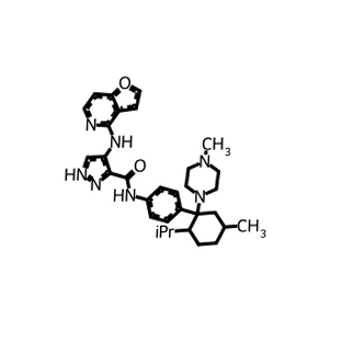 CC1CCC(C(C)C)C(c2ccc(NC(=O)c3n[nH]cc3Nc3nccc4occc34)cc2)(N2CCN(C)CC2)C1